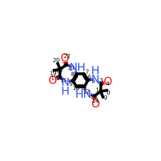 CC1(C)C(=O)Nc2cc3c(cc2NC1=O)NC(=O)C(C)(C)C(=O)N3